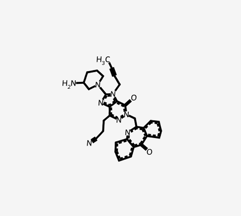 CC#CCn1c(N2CCCC(N)C2)nc2c(CCC#N)nn(Cc3nc4ccccc4c(=O)c4ccccc34)c(=O)c21